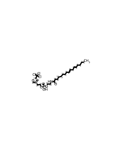 CCCCCC=CCC=CCCCCCCCC(=O)NCCOP(=O)(O)OCCN(C=O)OCC(Cl)(Cl)Cl